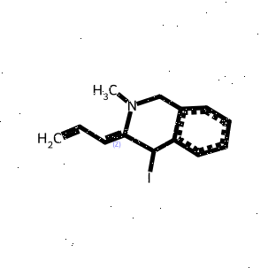 C=C/C=C1/C(I)c2ccccc2CN1C